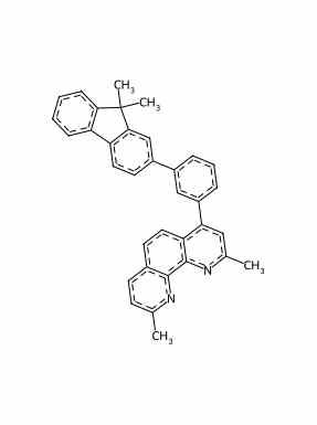 Cc1ccc2ccc3c(-c4cccc(-c5ccc6c(c5)C(C)(C)c5ccccc5-6)c4)cc(C)nc3c2n1